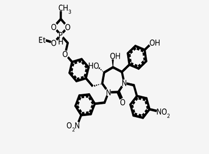 CCO[PH]1(COc2ccc(C[C@@H]3[C@H](O)[C@@H](O)C(c4ccc(O)cc4)N(Cc4cccc([N+](=O)[O-])c4)C(=O)N3Cc3cccc([N+](=O)[O-])c3)cc2)OC(C)O1